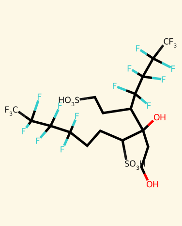 O=S(=O)(O)CCC(C(O)(CCO)C(CCC(F)(F)C(F)(F)C(F)(F)C(F)(F)F)S(=O)(=O)O)C(F)(F)C(F)(F)C(F)(F)C(F)(F)F